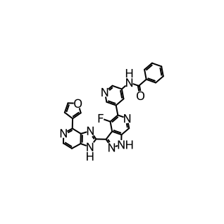 O=C(Nc1cncc(-c2ncc3[nH]nc(-c4nc5c(-c6ccoc6)nccc5[nH]4)c3c2F)c1)c1ccccc1